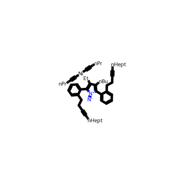 CCCC#[C][Ni][C]#CCCC.CCCCCCCC#CCCc1ccccc1C1=C(CC)C(CCCC)=C(c2ccccc2CCC#CCCCCCCC)[N+]1=[N-]